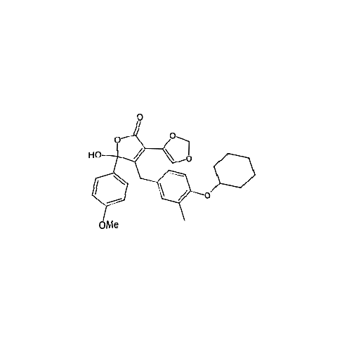 COc1ccc(C2(O)OC(=O)C(C3=COCO3)=C2Cc2ccc(OC3CCCCC3)c(C)c2)cc1